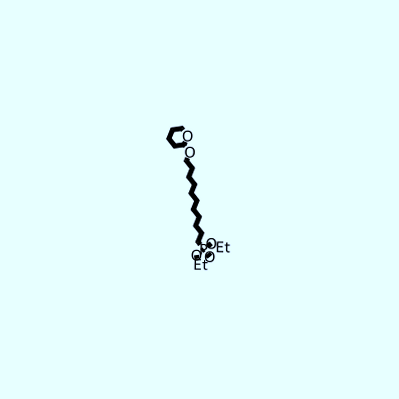 CCOP(=O)(CCCCCCCCCCCOC1CCCCO1)OCC